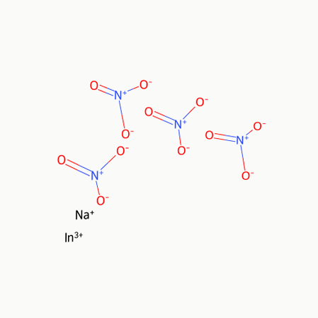 O=[N+]([O-])[O-].O=[N+]([O-])[O-].O=[N+]([O-])[O-].O=[N+]([O-])[O-].[In+3].[Na+]